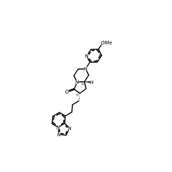 COc1ccc(N2CCN3C(=O)[C@@H](CCCc4cccn5ncnc45)C[C@H]3C2)nc1